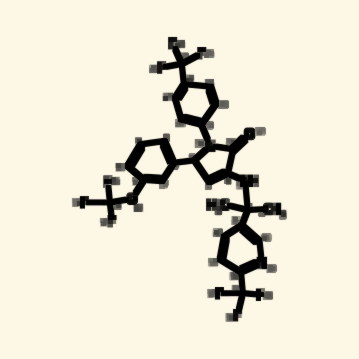 CC(C)(NC1=CC(c2cccc(OC(F)(F)F)c2)N(c2ccc(C(F)(F)F)cc2)C1=O)c1ccc(C(F)(F)F)nc1